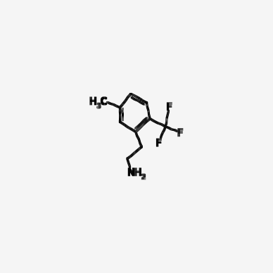 Cc1ccc(C(F)(F)F)c(CCN)c1